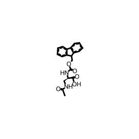 CC(=O)NC[C@@H](NC(=O)OCC1c2ccccc2-c2ccccc21)C(=O)O